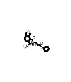 N=C(N)c1ccc2cocc2c1C(=O)NCCC(=O)Oc1ccccc1